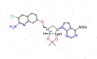 CNc1ncnc2c1ccn2[C@@H]1C[C@H](COc2ccc3cc(Cl)c(N)nc3c2)[C@H]2OC(C)(C)O[C@H]21